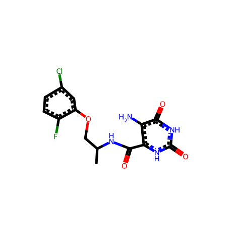 CC(COc1cc(Cl)ccc1F)NC(=O)c1[nH]c(=O)[nH]c(=O)c1N